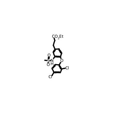 CCOC(=O)CCc1ccc(Oc2ccc(Cl)cc2Cl)c(NS(C)(=O)=O)c1